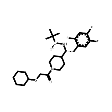 CC(C)(C)[S@+]([O-])N[C@H](Cc1cc(F)c(F)cc1F)C1CCN(C(=O)CSC2CCCCC2)CC1